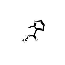 Cc1ncccc1C(=O)NN